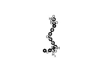 NC(=O)c1c(-c2ccc(Oc3ccccc3)cc2)nn2c1NCCC2C1CCN(C2CCN(C(=O)N3CCC(C4CCN(c5ccc6c(c5)C(=O)N(C5CCC(=O)NC5=O)C6=O)CC4)CC3)CC2)CC1